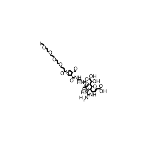 CC(=O)N[C@H]1[C@H]([C@H](OC(=O)NCCNC(=O)[C@H]2CN(C(=O)CCOCCOCCOCCOCI)C[C@H]2C=O)[C@H](O)CO)OC(C(=O)O)=C[C@@H]1NC(=N)N